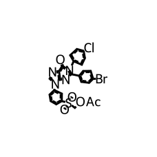 CC(=O)OCS(=O)(=O)c1cccc(-n2cnc3c(=O)n(-c4ccc(Cl)cc4)c(-c4ccc(Br)cc4)nc32)c1